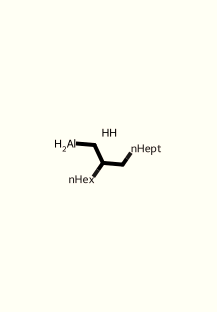 CCCCCCCCC([CH2][AlH2])CCCCCC.[HH]